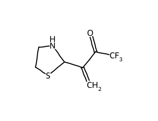 C=C(C(=O)C(F)(F)F)C1NCCS1